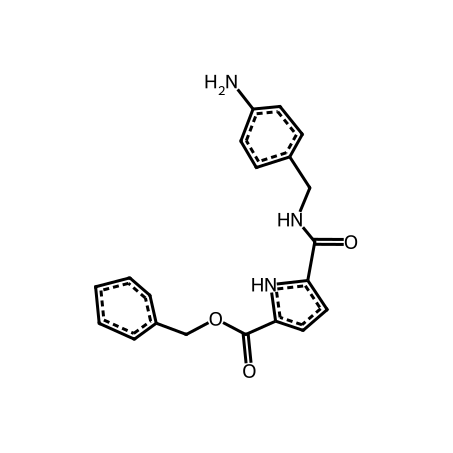 Nc1ccc(CNC(=O)c2ccc(C(=O)OCc3ccccc3)[nH]2)cc1